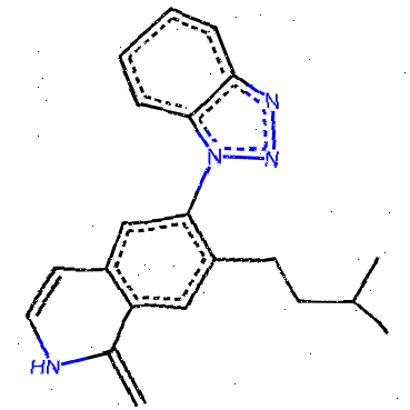 C=C1NC=Cc2cc(-n3nnc4ccccc43)c(CCC(C)C)cc21